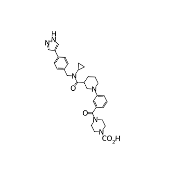 O=C(O)N1CCN(C(=O)c2cccc(N3CCCC(C(=O)N(Cc4ccc(-c5cn[nH]c5)cc4)C4CC4)C3)c2)CC1